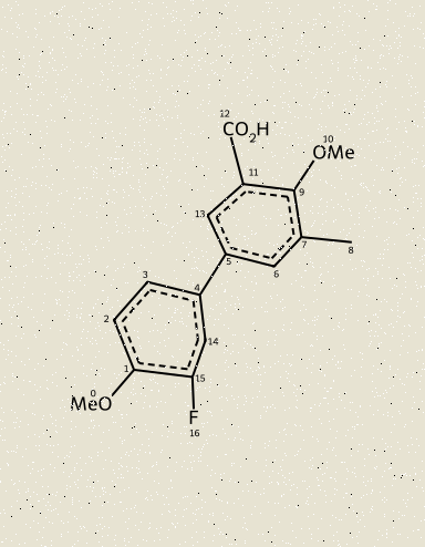 COc1ccc(-c2cc(C)c(OC)c(C(=O)O)c2)cc1F